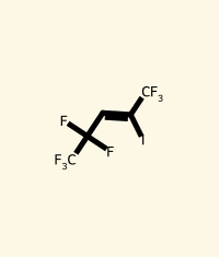 FC(F)(F)C(I)=CC(F)(F)C(F)(F)F